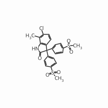 Cc1c(Cl)ccc2c1NC(=O)C2(c1ccc(S(C)(=O)=O)cc1)c1ccc(S(C)(=O)=O)cc1